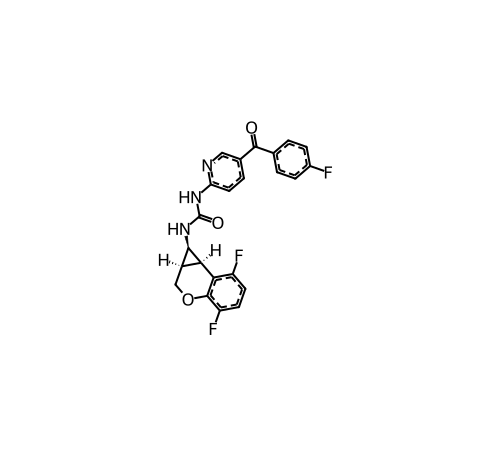 O=C(Nc1ccc(C(=O)c2ccc(F)cc2)cn1)N[C@@H]1[C@@H]2COc3c(F)ccc(F)c3[C@@H]21